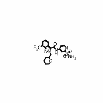 NS(=O)(=O)c1cc(NC(=O)c2c3cccc(C(F)(F)F)c3nn2CC2CCCCO2)ccn1